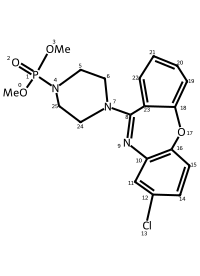 COP(=O)(OC)N1CCN(C2=Nc3cc(Cl)ccc3Oc3ccccc32)CC1